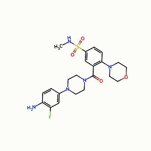 CNS(=O)(=O)c1ccc(N2CCOCC2)c(C(=O)N2CCN(c3ccc(N)c(F)c3)CC2)c1